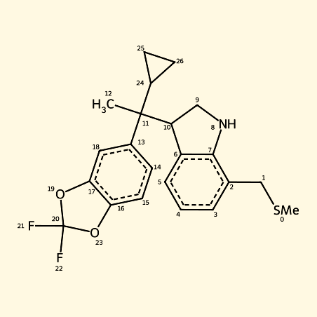 CSCc1cccc2c1NCC2C(C)(c1ccc2c(c1)OC(F)(F)O2)C1CC1